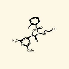 COc1nc(C)nc(NC(=O)N(NCCO)S(=O)(=O)c2ccccc2I)n1